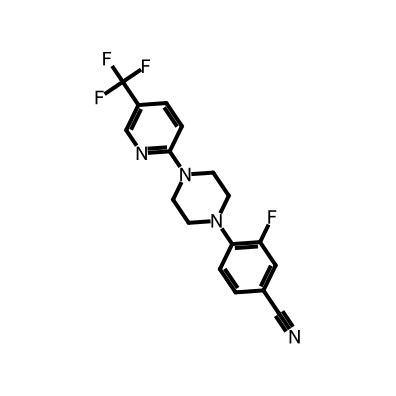 N#Cc1ccc(N2CCN(c3ccc(C(F)(F)F)cn3)CC2)c(F)c1